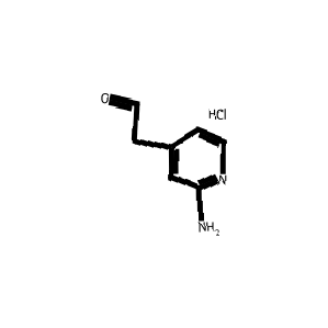 Cl.Nc1cc(CC=O)ccn1